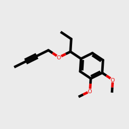 CC#CCOC(CC)c1ccc(OC)c(OC)c1